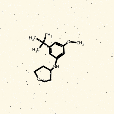 COc1cc(NC2CCOCC2)cc(C(C)(C)C)c1